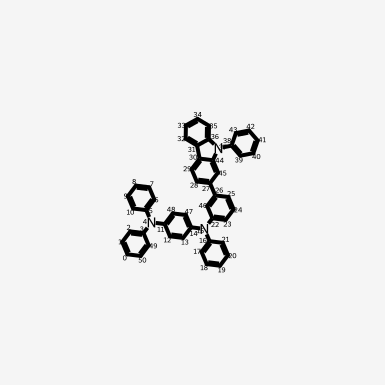 c1ccc(N(c2ccccc2)c2ccc(N(c3ccccc3)c3cccc(-c4ccc5c6ccccc6n(-c6ccccc6)c5c4)c3)cc2)cc1